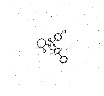 O=C1NCCCC[C@H]1N(Cc1cnc(-c2ccccc2)[nH]1)S(=O)(=O)c1ccc(Cl)cc1